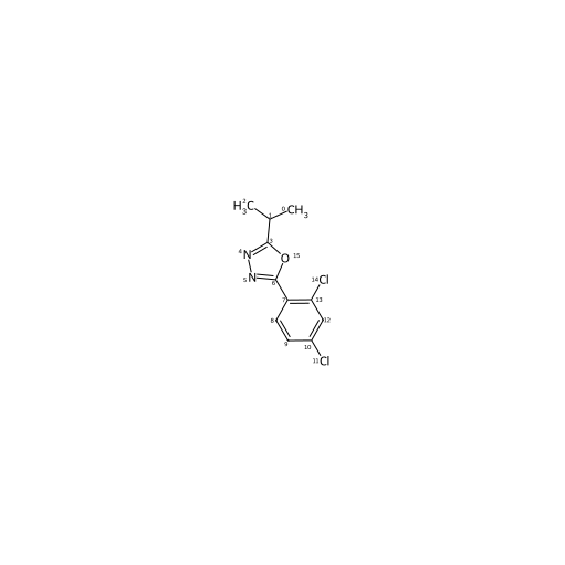 CC(C)c1nnc(-c2ccc(Cl)cc2Cl)o1